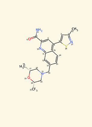 Cc1cc(-c2cc(C(N)=O)nc3cc(CN4C[C@@H](C)O[C@@H](C(F)(F)F)C4)ccc23)sn1